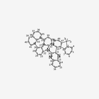 CC1(C)c2ccccc2-c2c(-c3nc4ccccc4nc3-n3c4cccc5c4c4c(cccc43)-c3cccc4cccc-5c34)cccc21